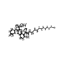 CCCCCCCCCCCCNC(=O)c1cccc(CN(Cc2ccccc2)C(=O)C(=O)O)c1